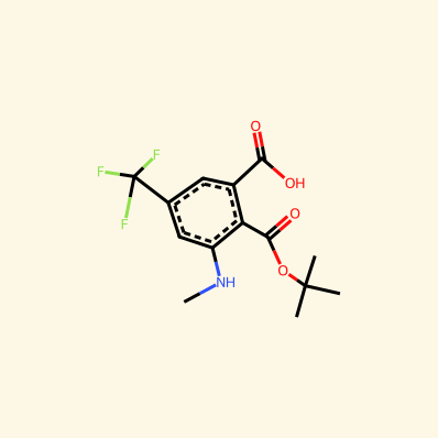 CNc1cc(C(F)(F)F)cc(C(=O)O)c1C(=O)OC(C)(C)C